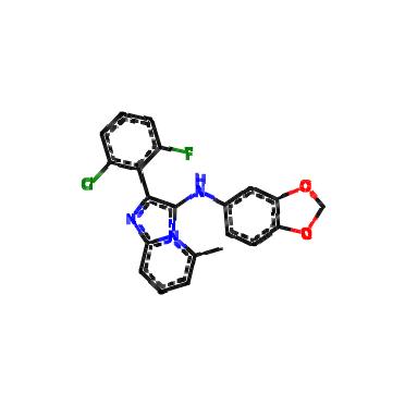 Cc1cccc2nc(-c3c(F)cccc3Cl)c(Nc3ccc4c(c3)OCO4)n12